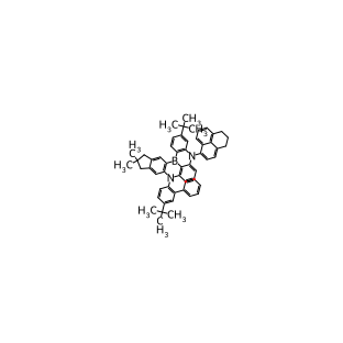 CC1(C)Cc2cc3c(cc2C1)N(c1ccc(C(C)(C)C)cc1-c1ccccc1)c1cccc2c1B3c1ccc(C(C)(C)C)cc1N2c1ccc2c3c(cccc13)CCC2